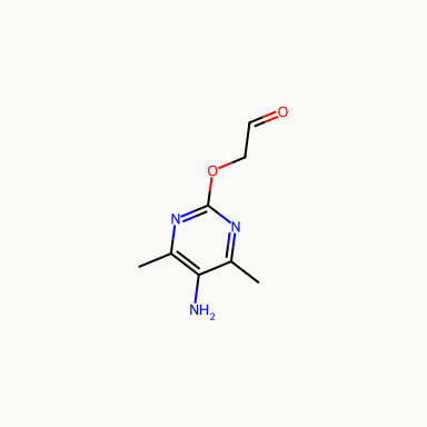 Cc1nc(OCC=O)nc(C)c1N